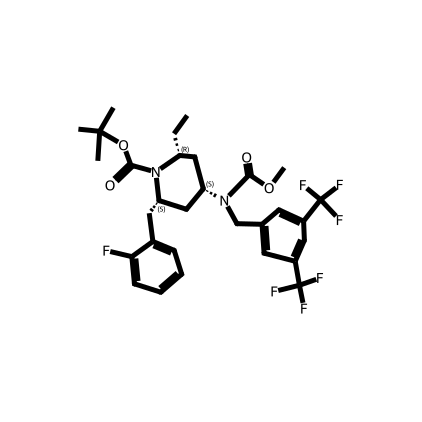 CC[C@@H]1C[C@H](N(Cc2cc(C(F)(F)F)cc(C(F)(F)F)c2)C(=O)OC)C[C@H](Cc2ccccc2F)N1C(=O)OC(C)(C)C